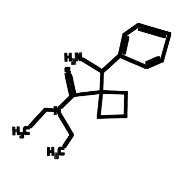 CCN(CC)C(=S)C1(C(N)c2ccccc2)CCC1